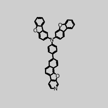 c1ccc2c(c1)oc1cc(N(c3ccc(-c4ccc5c(ccc6c7ccncc7oc56)c4)cc3)c3ccc4oc5ccccc5c4c3)ccc12